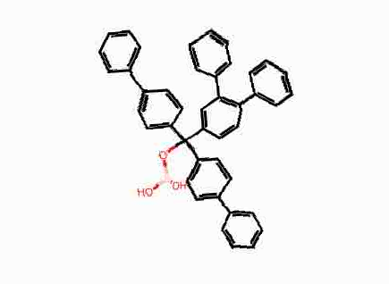 OB(O)OC(c1ccc(-c2ccccc2)cc1)(c1ccc(-c2ccccc2)cc1)c1ccc(-c2ccccc2)c(-c2ccccc2)c1